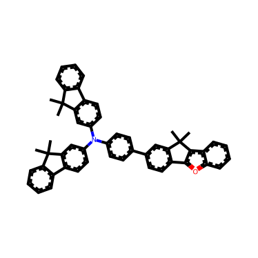 CC1(C)c2ccccc2-c2ccc(N(c3ccc(-c4ccc5c(c4)C(C)(C)c4c-5oc5ccccc45)cc3)c3ccc4c(c3)C(C)(C)c3ccccc3-4)cc21